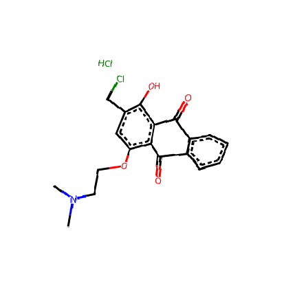 CN(C)CCOc1cc(CCl)c(O)c2c1C(=O)c1ccccc1C2=O.Cl